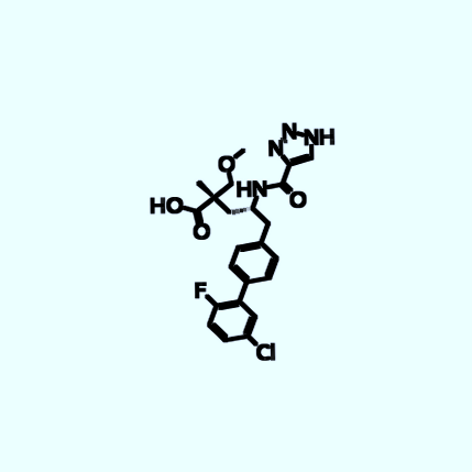 COC[C@](C)(C[C@@H](Cc1ccc(-c2cc(Cl)ccc2F)cc1)NC(=O)c1c[nH]nn1)C(=O)O